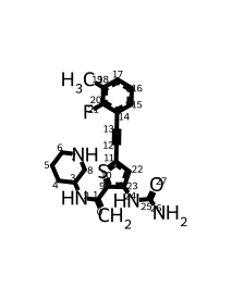 C=C(NC1CCCNC1)c1sc(C#Cc2cccc(C)c2F)cc1NC(N)=O